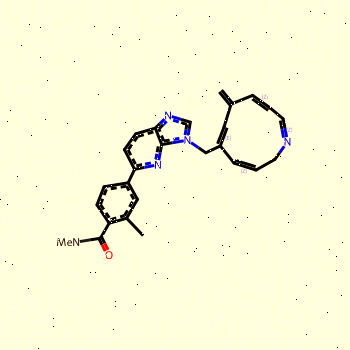 C=C1/C=C\C=N/C/C=C\C(Cn2cnc3ccc(-c4ccc(C(=O)NC)c(C)c4)nc32)=C/1